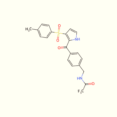 Cc1ccc(S(=O)(=O)c2cc[nH]c2C(=O)c2ccc(CNC(=O)C(F)(F)F)cc2)cc1